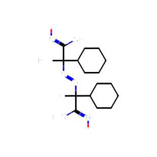 CC(N=NC(C)(C(N)=NO)C1CCCCC1)(C(N)=NO)C1CCCCC1